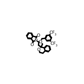 O=C1c2ccccc2C(=O)N1CCC1(COCc2cc(C(F)(F)F)cc(C(F)(F)F)c2)OCCc2ccccc21